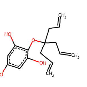 C=CCC(CC=C)(CC=C)Oc1c(O)cc(O)cc1O